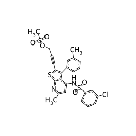 Cc1cccc(-c2c(C#CCOS(C)(=O)=O)sc3nc(C)cc(NS(=O)(=O)c4cccc(Cl)c4)c23)c1